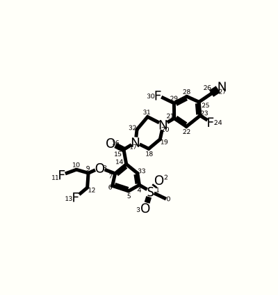 CS(=O)(=O)c1ccc(OC(CF)CF)c(C(=O)N2CCN(c3cc(F)c(C#N)cc3F)CC2)c1